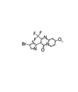 COc1ccn2c(=O)c(-c3ncc(Br)s3)c(C(F)(F)F)nc2c1